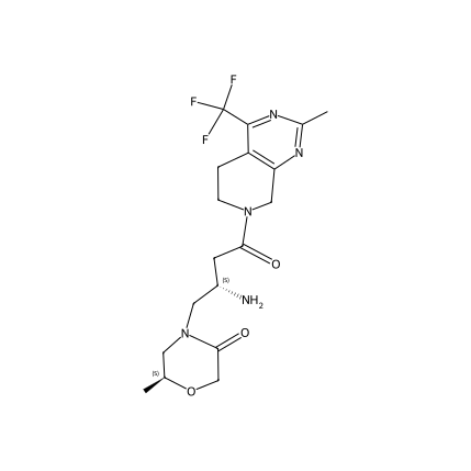 Cc1nc2c(c(C(F)(F)F)n1)CCN(C(=O)C[C@H](N)CN1C[C@H](C)OCC1=O)C2